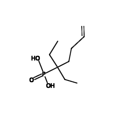 C=CCCC(CC)(CC)P(=O)(O)O